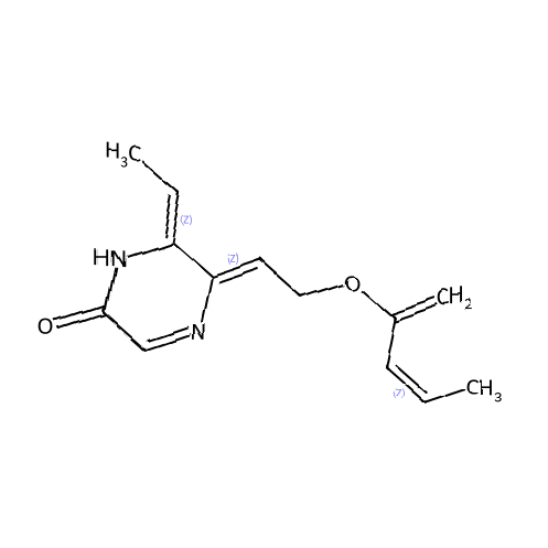 C=C(/C=C\C)OC/C=c1\ncc(=O)[nH]\c1=C/C